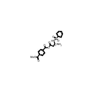 COC(=O)c1ccc(C(=O)OC(=O)C[C@@H](N)NS(=O)(=O)c2ccccc2)cc1